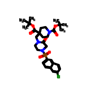 CC(C)(C)OC(=O)N1CCC(CN2CCN(S(=O)(=O)c3ccc4cc(Cl)ccc4c3)CC2=O)(C(=O)OC(C)(C)C)CC1